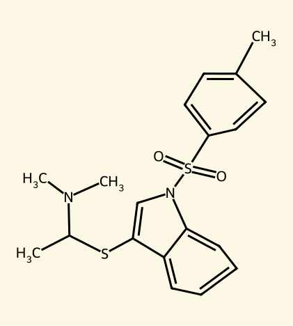 Cc1ccc(S(=O)(=O)n2cc(SC(C)N(C)C)c3ccccc32)cc1